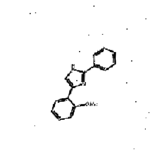 COc1ccccc1-c1c[nH]c(-c2cc[c]cc2)n1